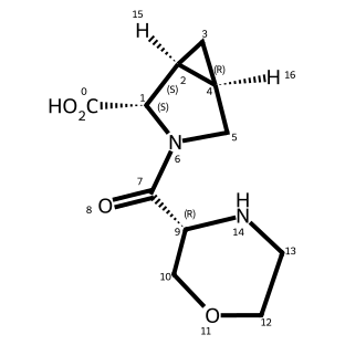 O=C(O)[C@@H]1[C@H]2C[C@H]2CN1C(=O)[C@H]1COCCN1